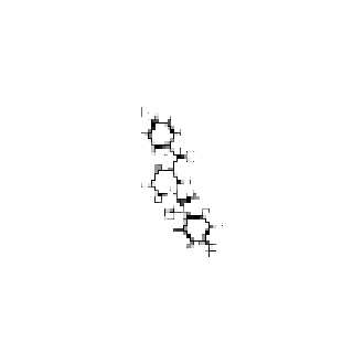 O=C(c1ccc(F)cc1)C1CCCN(S(=O)(=O)c2ccc(F)cc2)C1